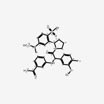 CCOc1cc([C@@H](Nc2cccc(C(N)=O)c2)C(=O)N2CCC[C@@H]2c2cc(N(C)C(=O)O)ccc2S(=O)(=O)C(C)C)ccc1F